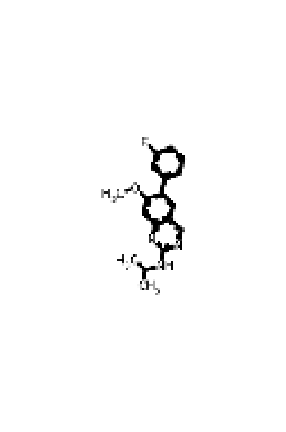 COc1cc2nc(NC(C)C)ncc2cc1-c1cccc(F)c1